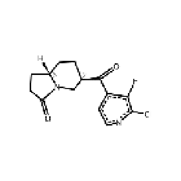 O=C(c1ccnc(Cl)c1F)[C@@H]1CC[C@H]2CCC(=O)N2C1